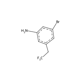 Nc1cc(Br)cc(CC(F)(F)F)c1